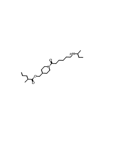 CCCC(C)C(=O)OCC1CCN(C(=O)CCCCCNC(C)CC)CC1